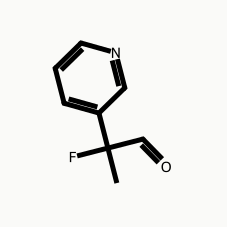 CC(F)(C=O)c1cccnc1